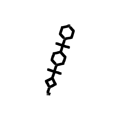 CC(C)N1CC(C(C)(C)N2CCC(C(C)(C)N3CCOCC3)CC2)C1